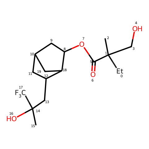 CCC(C)(CO)C(=O)OC1CC2CC(CC(C)(O)C(F)(F)F)C1C2